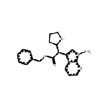 Cn1cc(C(C(=O)OCc2ccccc2)C2CCCN2)c2cccnc21